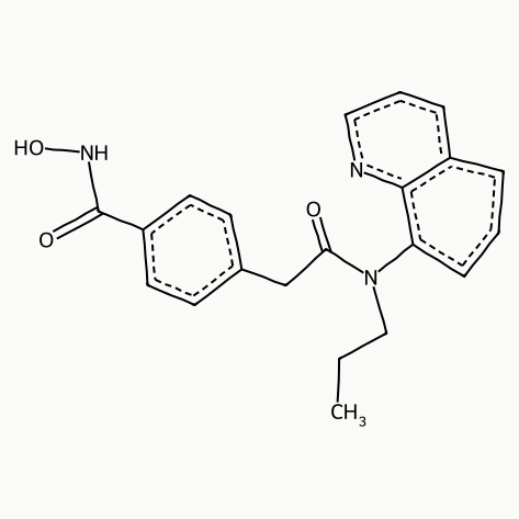 CCCN(C(=O)Cc1ccc(C(=O)NO)cc1)c1cccc2cccnc12